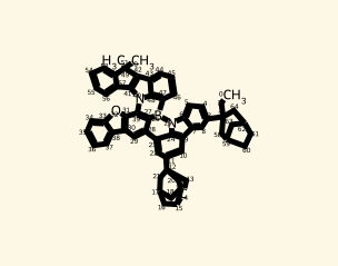 CCC1(c2ccc3c(c2)c2cc(C45CCC6CC(CC6C4)C5)cc4c2n3B2c3c-4cc4c(oc5ccccc54)c3-n3c4c(c5cccc2c53)C(C)(C)c2ccccc2-4)CC2CCC(C2)C1